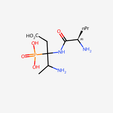 CCC[C@@H](N)C(=O)NC(CC(=O)O)(C(C)N)P(=O)(O)O